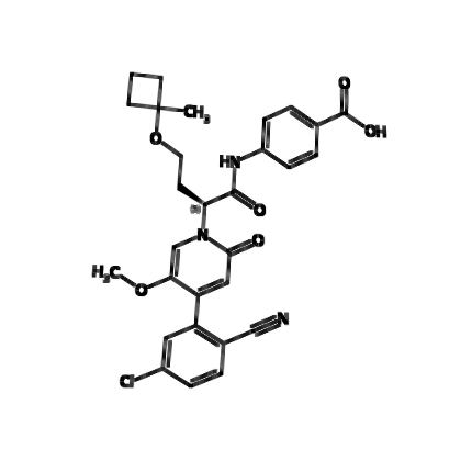 COc1cn([C@@H](CCOC2(C)CCC2)C(=O)Nc2ccc(C(=O)O)cc2)c(=O)cc1-c1cc(Cl)ccc1C#N